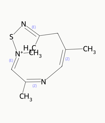 C/C1=C/N=C(C)\C=[N+](/C)S/N=C(\C)C1